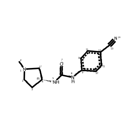 CN1CC[C@@H](NC(=O)Nc2ccc(C#N)cc2)C1